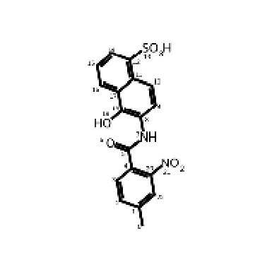 Cc1ccc(C(=O)Nc2ccc3c(S(=O)(=O)O)cccc3c2O)c([N+](=O)[O-])c1